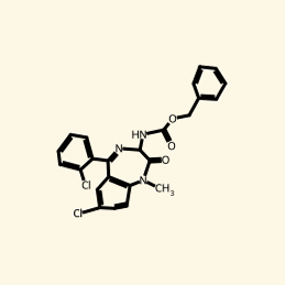 CN1C(=O)C(NC(=O)OCc2ccccc2)N=C(c2ccccc2Cl)c2cc(Cl)ccc21